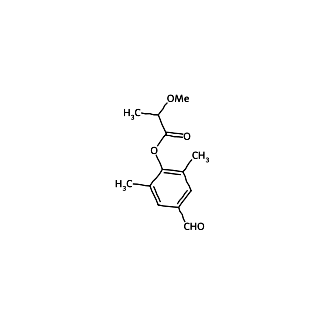 COC(C)C(=O)Oc1c(C)cc(C=O)cc1C